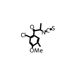 COc1cc(Cl)c(C(=O)C(C)N=C=S)cc1C